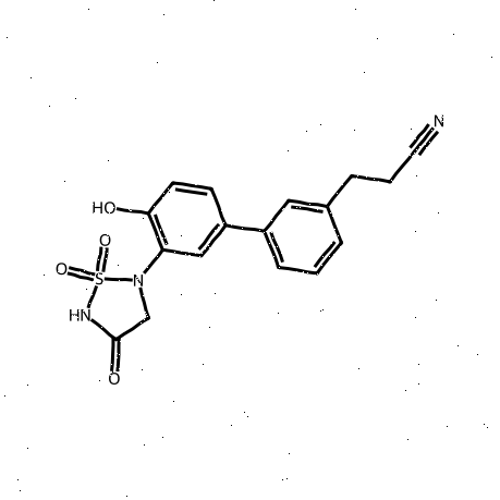 N#CCCc1cccc(-c2ccc(O)c(N3CC(=O)NS3(=O)=O)c2)c1